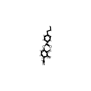 CCCc1ccc(C(=O)Oc2ccc(C#N)c(F)c2F)cc1